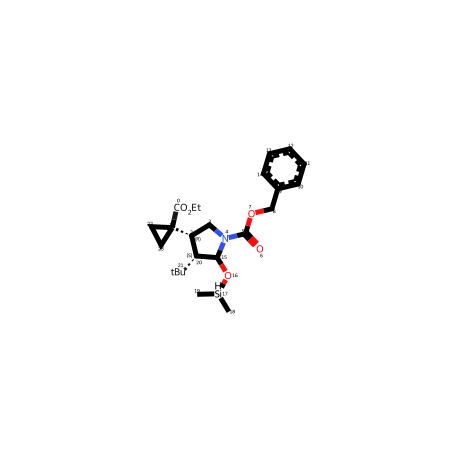 CCOC(=O)C1([C@@H]2CN(C(=O)OCc3ccccc3)C(O[SiH](C)C)[C@@H]2C(C)(C)C)CC1